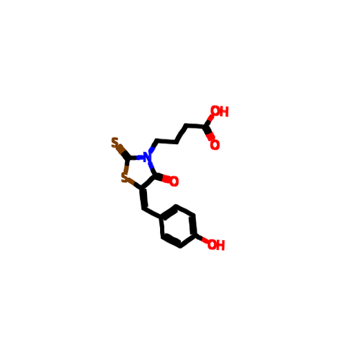 O=C(O)CCCN1C(=O)/C(=C\c2ccc(O)cc2)SC1=S